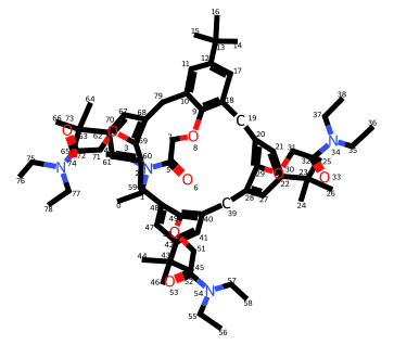 CCN(CC)C(=O)COc1c2cc(C(C)(C)C)cc1Cc1cc(C(C)(C)C)cc(c1OCC(=O)N(CC)CC)Cc1cc(C(C)(C)C)cc(c1OCC(=O)N(CC)CC)Cc1cc(C(C)(C)C)cc(c1OCC(=O)N(CC)CC)C2